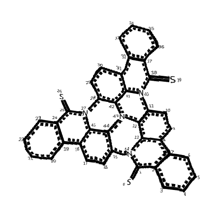 S=c1c2ccccc2c2ccc3c4c2n1c1ccc2c5ccccc5c(=S)n5c6ccc7c8ccccc8c(=S)n3c7c6n4c1c25